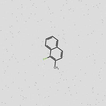 Cc1ccc2ccccc2c1F